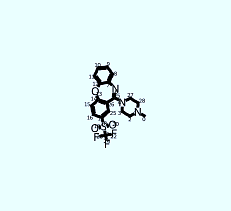 CN1CCN(C2=Nc3ccccc3Oc3ccc(S(=O)(=O)C(F)(F)F)cc32)CC1